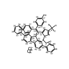 CCCC1C=C(C(C)(C)C)C=[C]1[Zr+2](=[C](c1ccc(C)cc1)c1ccc(C)cc1)[CH]1c2cc(-c3ccccc3)ccc2-c2ccc(-c3ccccc3)cc21.[Cl-].[Cl-]